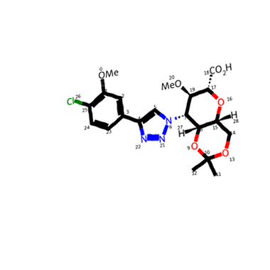 COc1cc(-c2cn([C@H]3[C@H]4OC(C)(C)OC[C@H]4O[C@@H](C(=O)O)[C@@H]3OC)nn2)ccc1Cl